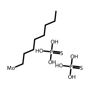 CCCCCCC[CH2][Mo].OP(O)(O)=S.OP(O)(O)=S